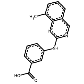 Cc1cccc2cnc(Nc3cccc(C(=O)O)c3)nc12